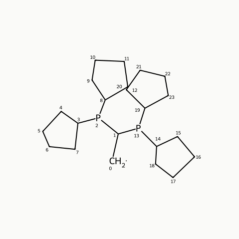 [CH2]C(P(C1CCCC1)C1CCCC1)P(C1CCCC1)C1CCCC1